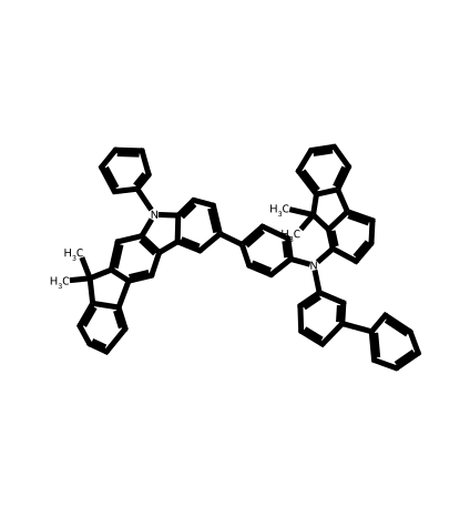 CC1(C)c2ccccc2-c2cc3c4cc(-c5ccc(N(c6cccc(-c7ccccc7)c6)c6cccc7c6C(C)(C)c6ccccc6-7)cc5)ccc4n(-c4ccccc4)c3cc21